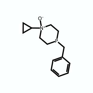 [O-][N+]1(C2CC2)CCP(Cc2ccccc2)CC1